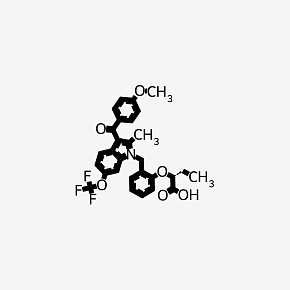 CC[C@@H](Oc1ccccc1Cn1c(C)c(C(=O)c2ccc(OC)cc2)c2ccc(OC(F)(F)F)cc21)C(=O)O